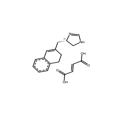 C1=N[C@@H](CC2=Cc3ccccc3CC2)CN1.O=C(O)C=CC(=O)O